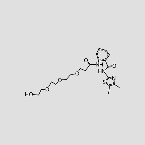 Cc1nc(NC(=O)c2ccccc2NC(=O)CCOCCOCCOCCO)sc1C